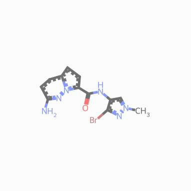 Cn1cc(NC(=O)c2ccc3ccc(N)nn23)c(Br)n1